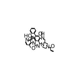 C=CC(=O)N1CCN2c3nc(=O)n(-c4c(C)ccnc4C(C)C)c4c(F)c(-c5ccccc5O)c(Cl)c(c34)NCC2C1